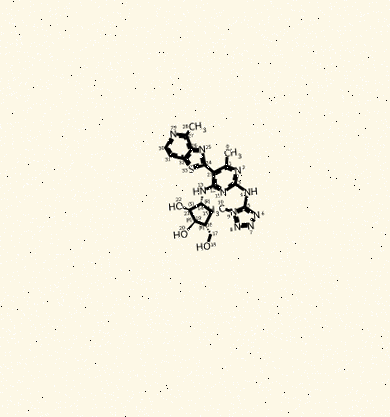 Cc1nc(Nc2nnnn2C)nc(N[C@@H]2C[C@H](CO)[C@@H](O)[C@H]2O)c1-c1nc2c(C)nccc2s1